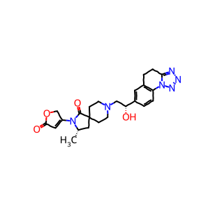 C[C@H]1CC2(CCN(C[C@@H](O)c3ccc4c(c3)CCc3nnnn3-4)CC2)C(=O)N1C1=CC(=O)OC1